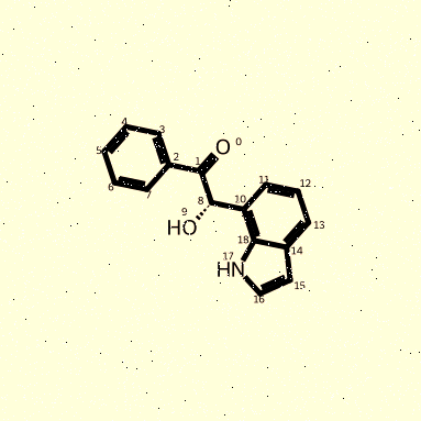 O=C(c1ccccc1)[C@@H](O)c1cccc2cc[nH]c12